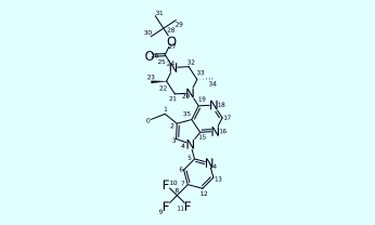 CCc1cn(-c2cc(C(F)(F)F)ccn2)c2ncnc(N3C[C@@H](C)N(C(=O)OC(C)(C)C)C[C@@H]3C)c12